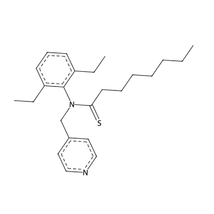 CCCCCCCC(=S)N(Cc1ccncc1)c1c(CC)cccc1CC